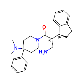 CN(C)C1(c2ccccc2)CCN(C(=O)[C@@H](CN)[C@@H]2CCc3ccccc32)CC1